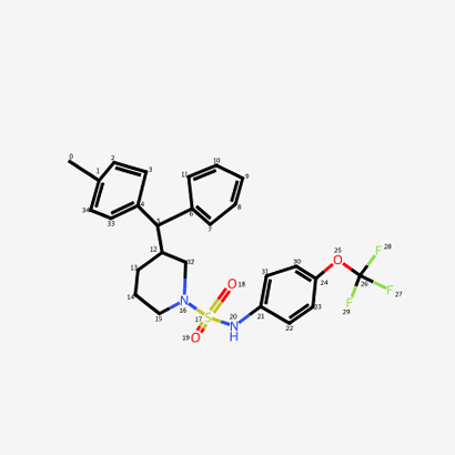 Cc1ccc(C(c2ccccc2)C2CCCN(S(=O)(=O)Nc3ccc(OC(F)(F)F)cc3)C2)cc1